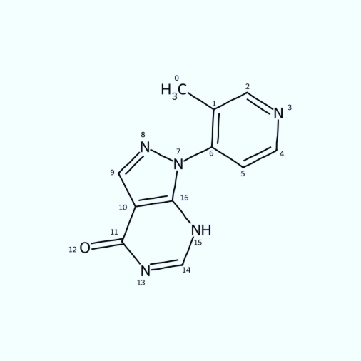 Cc1cnccc1-n1ncc2c(=O)nc[nH]c21